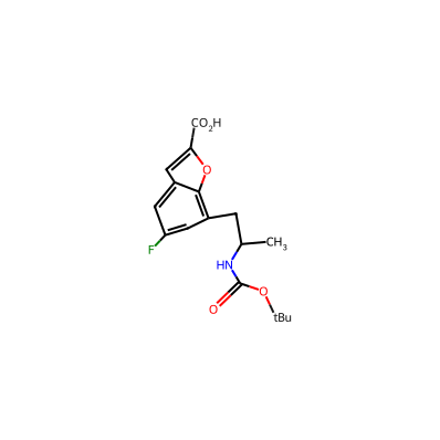 CC(Cc1cc(F)cc2cc(C(=O)O)oc12)NC(=O)OC(C)(C)C